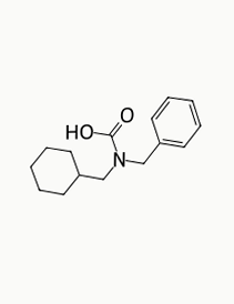 O=C(O)N(Cc1ccccc1)CC1CCCCC1